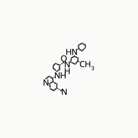 Cc1cc(NC(=O)c2cccc(Nc3ccnc4ccc(C#N)cc34)c2)cc(Nc2ccccc2)c1